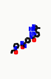 C=CC(=O)N1CCC[C@H](c2nc(-c3ccc(NC(=O)c4cccc(-c5[nH]ncc5C)n4)cc3)no2)C1